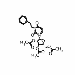 CC(=O)OC[C@H]1O[C@@H](n2ccc(=O)n(CCc3ccccc3)c2=O)[C@@H](OC(C)=O)C1OC(C)=O